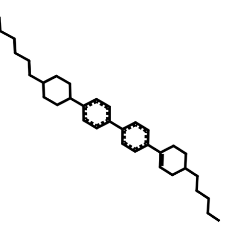 CCCCCCC1CCC(c2ccc(-c3ccc(C4=CCC(CCCCC)CC4)cc3)cc2)CC1